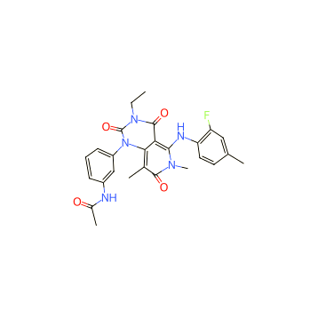 CCn1c(=O)c2c(Nc3ccc(C)cc3F)n(C)c(=O)c(C)c2n(-c2cccc(NC(C)=O)c2)c1=O